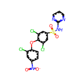 O=[N+]([O-])c1ccc(Oc2c(Cl)cc(S(=O)(=O)Nc3ncccn3)cc2Cl)c(Cl)c1